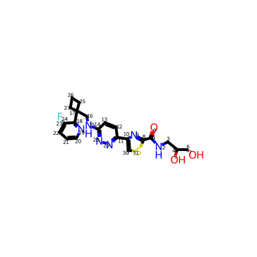 O=C(NCC(O)CO)c1nc(-c2ccc(NCC3(c4ncccc4F)CCC3)nn2)[c]s1